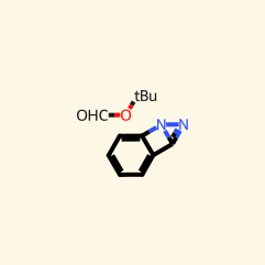 CC(C)(C)OC=O.c1ccc2c(c1)c1nn2-1